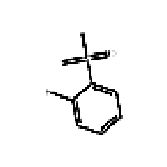 C=S(C)(=O)c1ccccc1F